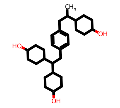 CC(Cc1ccc(CC(C2CCC(O)CC2)C2CCC(O)CC2)cc1)C1CCC(O)CC1